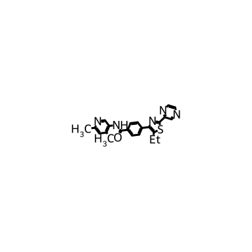 CCc1sc(-c2cnccn2)nc1-c1ccc(C(=O)Nc2cnc(C)cc2C)cc1